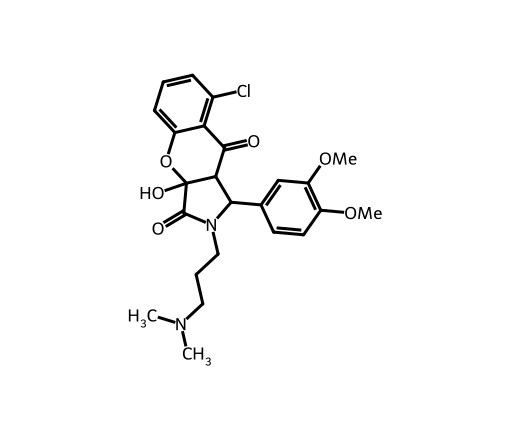 COc1ccc(C2C3C(=O)c4c(Cl)cccc4OC3(O)C(=O)N2CCCN(C)C)cc1OC